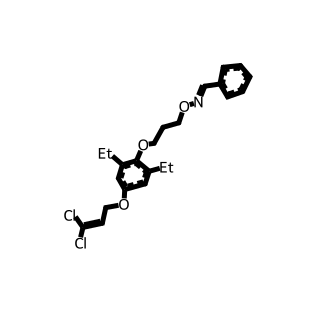 CCc1cc(OCC=C(Cl)Cl)cc(CC)c1OCCCON=Cc1ccccc1